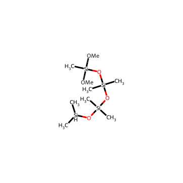 CO[Si](C)(OC)O[Si](C)(C)O[Si](C)(C)O[SiH](C)C